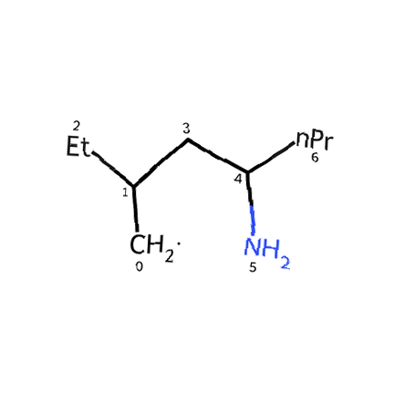 [CH2]C(CC)CC(N)CCC